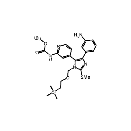 CSc1nc(-c2cccc(N)c2)c(-c2ccnc(NC(=O)OC(C)(C)C)c2)n1COCC[Si](C)(C)C